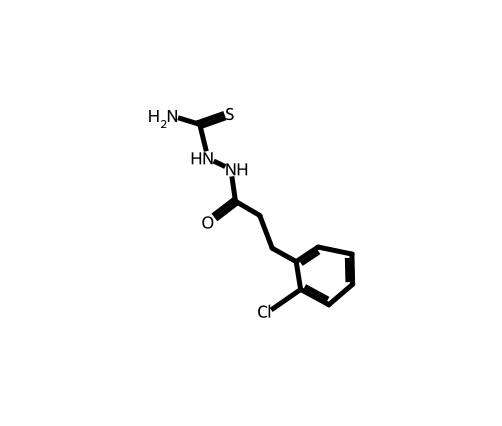 NC(=S)NNC(=O)CCc1ccccc1Cl